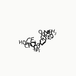 CCCc1cc(C(O)(C(F)(F)F)C(F)(F)F)ccc1Oc1ccnc(CN2C(=O)NC(C)(c3ccco3)C2=O)c1